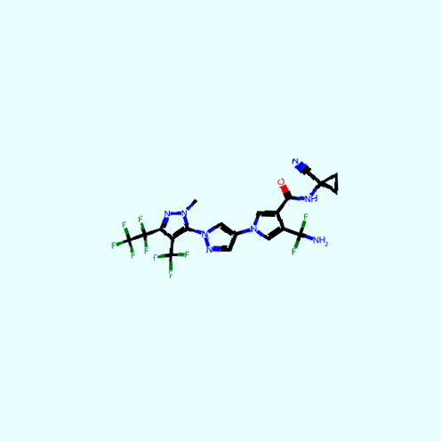 Cn1nc(C(F)(F)C(F)(F)F)c(C(F)(F)F)c1-n1cc(-n2cc(C(=O)NC3(C#N)CC3)c(C(N)(F)F)c2)cn1